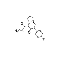 COC(=O)C1=C2CCCN2CC(c2ccc(F)cc2)C1=O